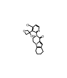 O=C1c2cc3c(n2CCN1c1nccc(Cl)c1C1(O)COC1)CCCC3